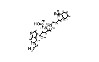 COc1ccc2nccc([C@H](O)CC[C@@H]3CCN(CCCCc4ccccc4C(F)(F)F)C[C@@H]3CC(=O)O)c2c1